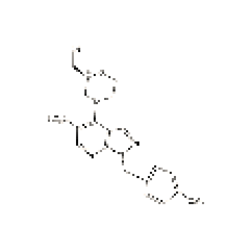 CCOC(=O)c1cnc2c(cnn2Cc2ccc(OC)cc2)c1N1CCO[C@H](CC#N)C1